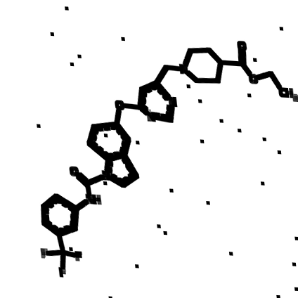 CCOC(=O)C1CCN(Cc2cc(Oc3ccc4c(ccn4C(=O)Nc4cccc(C(F)(F)F)c4)c3)ncn2)CC1